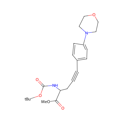 COC(=O)C(CC#Cc1ccc(N2CCOCC2)cc1)NC(=O)OC(C)(C)C